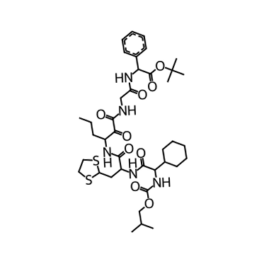 CCCC(NC(=O)C(CC1SCCS1)NC(=O)C(NC(=O)OCC(C)C)C1CCCCC1)C(=O)C(=O)NCC(=O)NC(C(=O)OC(C)(C)C)c1ccccc1